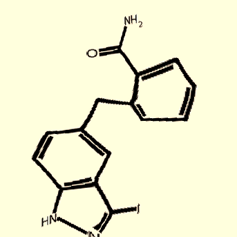 NC(=O)c1ccccc1Cc1ccc2[nH]nc(I)c2c1